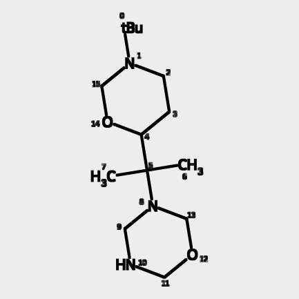 CC(C)(C)N1CCC(C(C)(C)N2CNCOC2)OC1